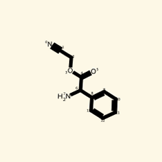 N#CCOC(=O)C(N)c1ccccc1